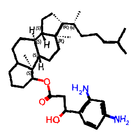 CC(C)CCC[C@@H](C)[C@H]1CC[C@H]2[C@@H]3CCC4CCCC(OC(=O)CC(O)c5ccc(N)cc5N)[C@]4(C)[C@H]3CC[C@]12C